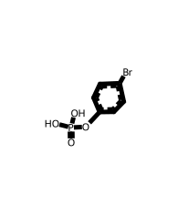 O=P(O)(O)Oc1ccc(Br)cc1